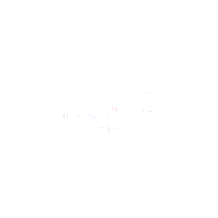 O=C(O)NCC(F)(F)CC(O)Cc1ccccc1